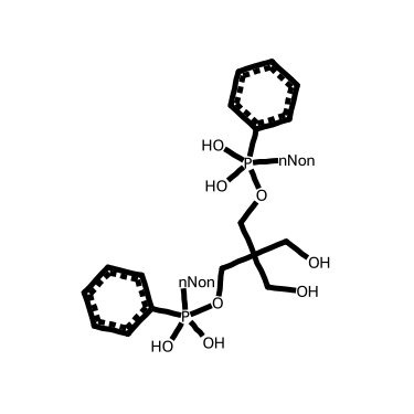 CCCCCCCCCP(O)(O)(OCC(CO)(CO)COP(O)(O)(CCCCCCCCC)c1ccccc1)c1ccccc1